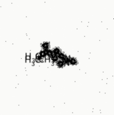 CC(C)(C)c1ccc2c(c1)c1cc(-c3ccccc3-c3ccccc3-c3ccc(-n4nc(-c5ccccc5)nc4-c4ccccc4)cc3)ccc1n2-c1ccccc1